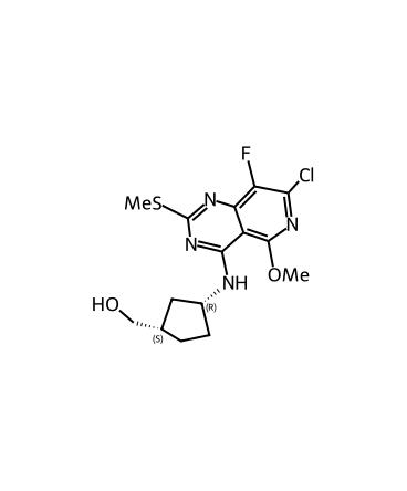 COc1nc(Cl)c(F)c2nc(SC)nc(N[C@@H]3CC[C@H](CO)C3)c12